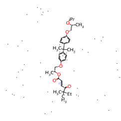 CCC(C)(C)C(=O)/C=C/C(=O)OC(C)COc1ccc(C(C)(C)c2ccc(OCC(C)OC(C)C)cc2)cc1